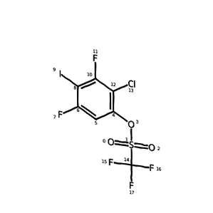 O=S(=O)(Oc1cc(F)c(I)c(F)c1Cl)C(F)(F)F